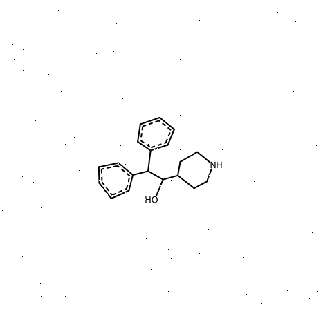 OC(C1CCNCC1)C(c1ccccc1)c1ccccc1